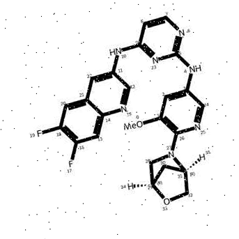 COc1cc(Nc2nccc(Nc3cnc4cc(F)c(F)cc4c3)n2)cnc1N1C[C@H]2C[C@@H]1CO2